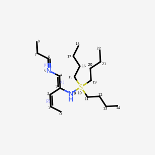 C\C=C/C(=C\N=C\CC)NS(CCCC)(CCCC)CCCC